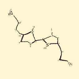 OCCC1CSC(C2SCC(CCO)S2)S1